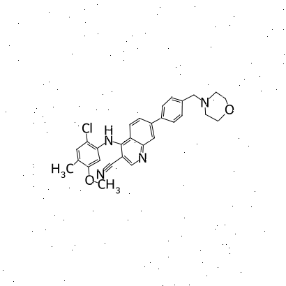 COc1cc(Nc2c(C#N)cnc3cc(-c4ccc(CN5CCOCC5)cc4)ccc23)c(Cl)cc1C